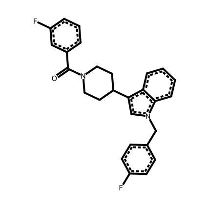 O=C(c1cccc(F)c1)N1CCC(c2cn(Cc3ccc(F)cc3)c3ccccc23)CC1